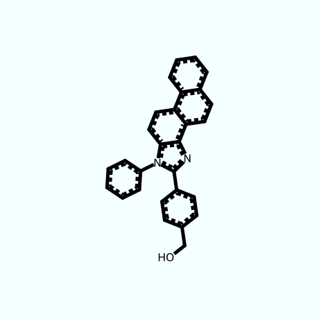 OCc1ccc(-c2nc3c4ccc5ccccc5c4ccc3n2-c2ccccc2)cc1